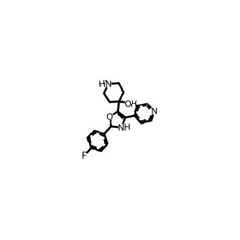 OC1(C2=C(c3ccncc3)NC(c3ccc(F)cc3)O2)CCNCC1